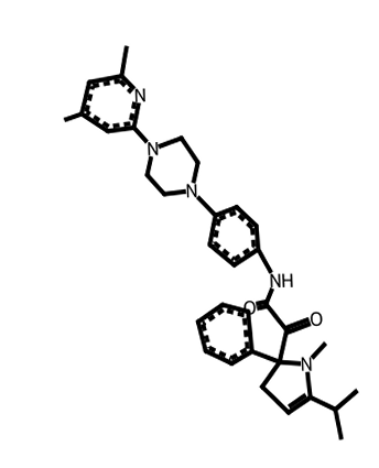 Cc1cc(C)nc(N2CCN(c3ccc(NC(=O)C(=O)C4(c5ccccc5)CC=C(C(C)C)N4C)cc3)CC2)c1